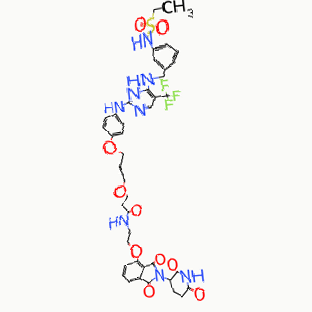 CCS(=O)(=O)Nc1cccc(CNc2nc(Nc3ccc(OCCCOCCC(=O)NCCOc4cccc5c4C(=O)N(C4CCC(=O)NC4=O)C5=O)cc3)ncc2C(F)(F)F)c1